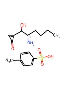 CCCC[C@H](N)C(O)c1cc1=O.Cc1ccc(S(=O)(=O)O)cc1